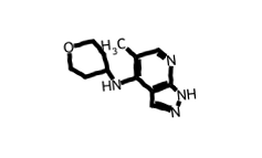 Cc1cnc2[nH]ncc2c1NC1CCOCC1